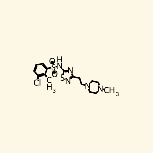 Cc1c(Cl)cccc1S(=O)(=O)Nc1nc(CCN2CCN(C)CC2)ns1